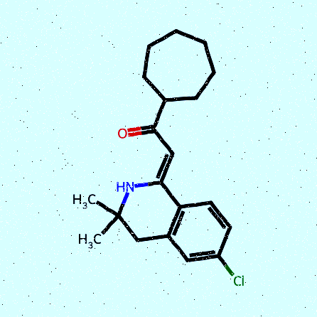 CC1(C)Cc2cc(Cl)ccc2C(=CC(=O)C2CCCCCC2)N1